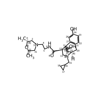 C[C@@H]1CN(CCNC(=O)[C@H]2C[C@]34CCN(CC5CC5)[C@H](Cc5ccc(O)cc53)[C@]4(O)C2)C[C@H](C)O1